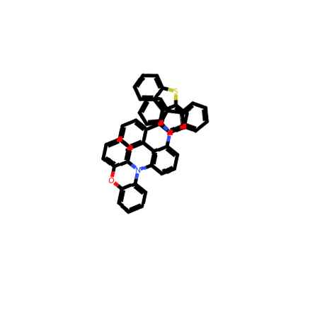 c1ccc2c(c1)Oc1ccccc1N2c1cccc(-n2c3ccccc3c3ccccc32)c1-c1ccccc1-c1cccc2sc3ccccc3c12